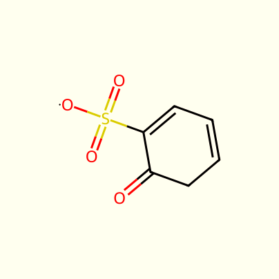 [O]S(=O)(=O)C1=CC=CCC1=O